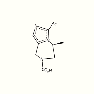 CC(=O)c1ncc2n1[C@@H](C)CN(C(=O)O)C2